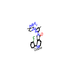 COc1cccc(F)c1-c1nccc2c1CN(c1cc(C)cc(N3CCC(C)(N)C3)n1)C2=O